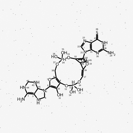 NC1=C2NCN(c3oc4c(c3O)O[PH](O)(O)O/C=C3/OC(n5cnc6c(=S)[nH]c(N)nc65)=C(O[PH](O)(O)OC4)[C@@H]3O)C2NCN1